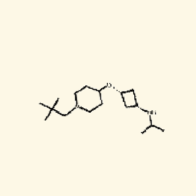 CC(C)N[C@H]1C[C@H](OC2CCN(CC(C)(C)C)CC2)C1